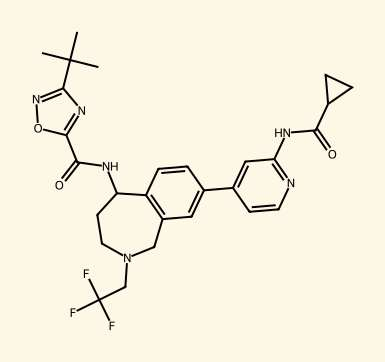 CC(C)(C)c1noc(C(=O)NC2CCN(CC(F)(F)F)Cc3cc(-c4ccnc(NC(=O)C5CC5)c4)ccc32)n1